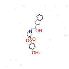 O=S(=O)(c1ccc(O)cc1)[C@H]1CCN(C[C@@H](O)C2Cc3ccccc3C2)C1